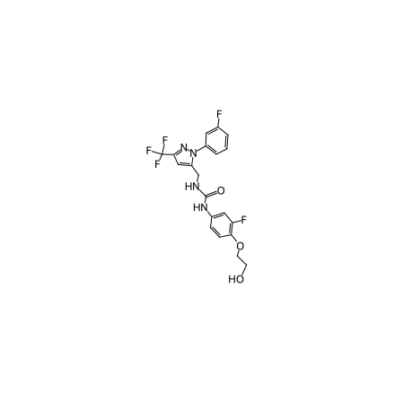 O=C(NCc1cc(C(F)(F)F)nn1-c1cccc(F)c1)Nc1ccc(OCCO)c(F)c1